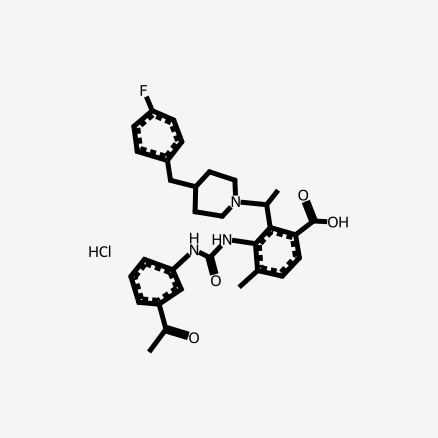 CC(=O)c1cccc(NC(=O)Nc2c(C)ccc(C(=O)O)c2C(C)N2CCC(Cc3ccc(F)cc3)CC2)c1.Cl